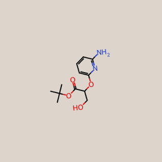 CC(C)(C)OC(=O)C(CO)Oc1cccc(N)n1